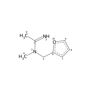 CC(=N)N(C)Cc1ccco1